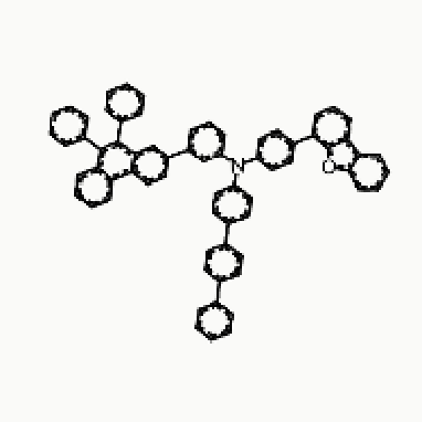 c1ccc(-c2ccc(-c3ccc(N(c4ccc(-c5cccc6c5oc5ccccc56)cc4)c4cccc(-c5ccc6c(c5)c(-c5ccccc5)c(-c5ccccc5)c5ccccc56)c4)cc3)cc2)cc1